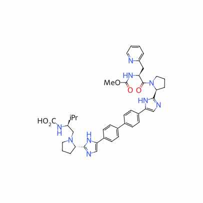 COC(=O)N[C@@H](Cc1ccccn1)C(=O)N1CCC[C@H]1c1ncc(-c2ccc(-c3ccc(-c4cnc([C@@H]5CCCN5C[C@@H](NC(=O)O)C(C)C)[nH]4)cc3)cc2)[nH]1